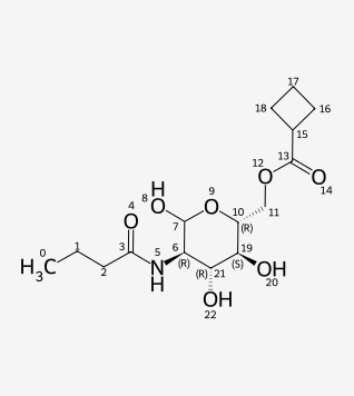 CCCC(=O)N[C@H]1C(O)O[C@H](COC(=O)C2CCC2)[C@@H](O)[C@@H]1O